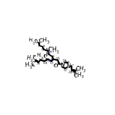 CC(C)=CCC/C(C)=C/CC(/C=C(\C)CCC=C(C)C)CC(=O)N1CCN(CC=C(C)C)CC1